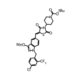 COc1nn(Cc2ccc(Cl)cc2C(F)(F)F)c2ccc(/C=C3\SC(=O)N(C4CCN(C(=O)OC(C)(C)C)CC4)C3=O)cc12